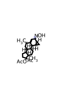 CC(=O)O[C@]1(C(C)=O)CC[C@H]2[C@@H]3C[C@H](C)C4=C/C(=N/O)[C@H]5C[C@H]5[C@@H]4[C@H]3CC[C@@]21C